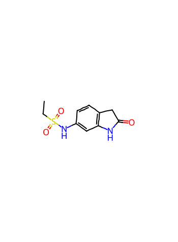 CCS(=O)(=O)Nc1ccc2c(c1)NC(=O)C2